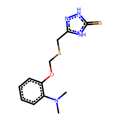 CN(C)c1ccccc1OCSCc1n[nH]c(=S)[nH]1